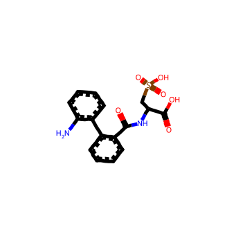 Nc1ccccc1-c1ccccc1C(=O)NC(CS(=O)(=O)O)C(=O)O